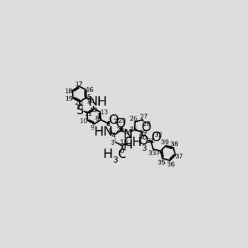 CC(C)C[C@H](NC(=O)c1ccc2c(c1)Nc1ccccc1S2)C(=O)N[C@H]1CCOC1OC(=O)Cc1ccccc1